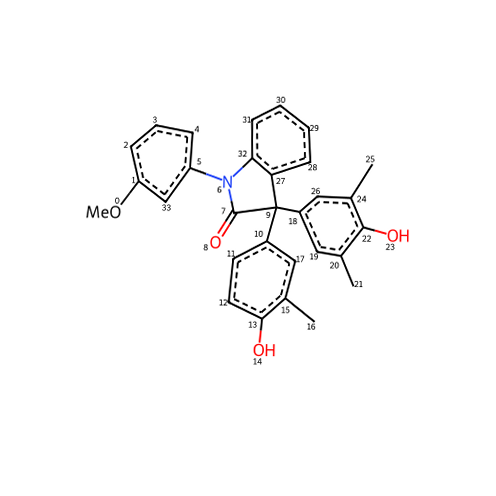 COc1cccc(N2C(=O)C(c3ccc(O)c(C)c3)(c3cc(C)c(O)c(C)c3)c3ccccc32)c1